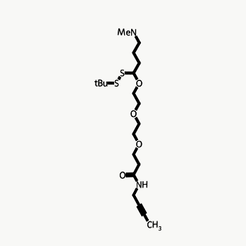 CC#CCNC(=O)CCOCCOCCOC(CCCNC)SSC(C)(C)C